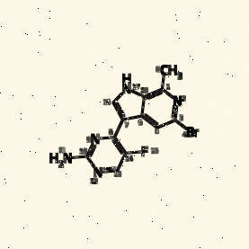 Cc1nc(Br)cc2c(-c3nc(N)ncc3F)c[nH]c12